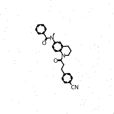 CN(C(=O)c1ccccc1)c1ccc2c(c1)CCCN2C(=O)CCc1ccc(C#N)cc1